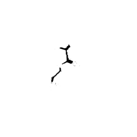 CCC(=O)C(=O)OCCOC